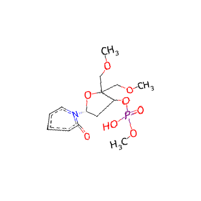 COCC1(COC)O[C@@H](n2ccccc2=O)CC1OP(=O)(O)OC